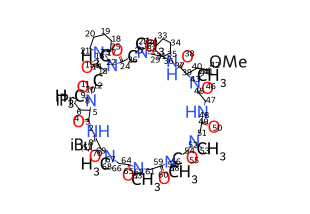 CC[C@H](C)C1NC(=O)C(CC(C)C)N(C)C(=O)CC(C(=O)N2CCCCC2)N(C)C(=O)CN(C)C(=O)C2(CCCC2)NC(=O)C(CCOC)N(C)C(=O)CNC(=O)CN(C)C(=O)CN(C)C(=O)CN(C)C(=O)CN(C)C1=O